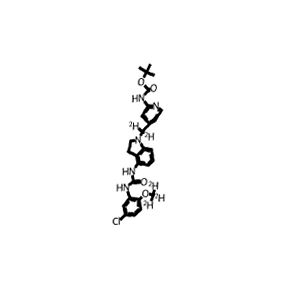 [2H]C([2H])([2H])Oc1ccc(Cl)cc1NC(=O)Nc1cccc2c1CCN2C([2H])([2H])c1ccnc(NC(=O)OC(C)(C)C)c1